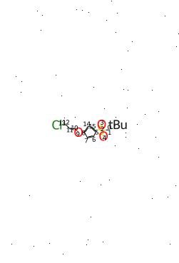 [CH2]C(C)(C)CS(=O)(=O)c1ccc(OCCCCl)cc1